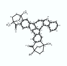 CC(C)C12CCC(C)(CC1)c1cc3c4c5c(cc6c7cc8c(cc7n(c3cc1C2=O)c64)C(=O)C1(C)CCC8(C)CC1)oc1ccccc15